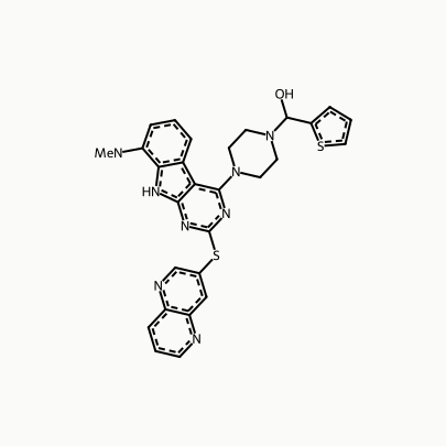 CNc1cccc2c1[nH]c1nc(Sc3cnc4cccnc4c3)nc(N3CCN(C(O)c4cccs4)CC3)c12